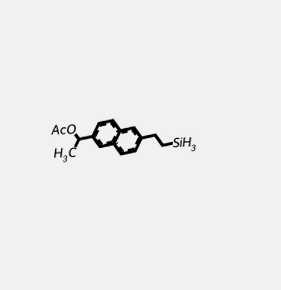 CC(=O)OC(C)c1ccc2cc(CC[SiH3])ccc2c1